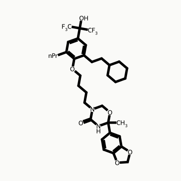 CCCc1cc(C(O)(C(F)(F)F)C(F)(F)F)cc(CCC2CCCCC2)c1OCCCCN1COC(C)(c2ccc3c(c2)OCO3)NC1=O